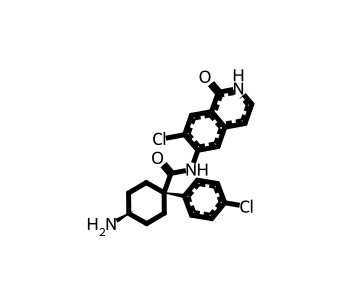 N[C@H]1CC[C@@](C(=O)Nc2cc3cc[nH]c(=O)c3cc2Cl)(c2ccc(Cl)cc2)CC1